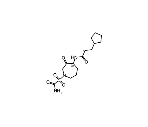 NC(=O)S(=O)(=O)N1CCC[C@H](NC(=O)[CH]CC2CCCC2)C(=O)C1